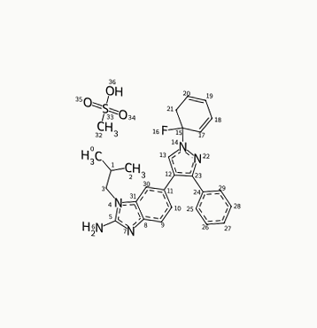 CC(C)Cn1c(N)nc2ccc(-c3cn(C4(F)C=CC=CC4)nc3-c3ccccc3)cc21.CS(=O)(=O)O